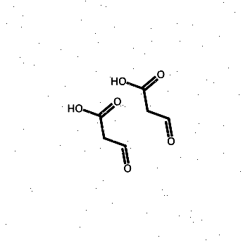 O=CCC(=O)O.O=CCC(=O)O